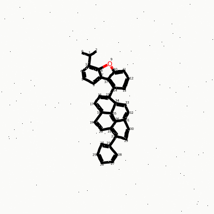 CC(C)c1cccc2c1oc1cccc(-c3ccc4ccc5c(-c6ccccc6)ccc6ccc3c4c65)c12